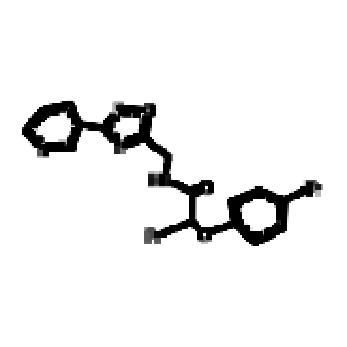 CC(C)c1ccc(OC(C(=O)NCc2nc(-c3cccnc3)no2)C(C)C)cc1